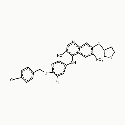 N#Cc1cnc2cc(OC3CCOC3)c([N+](=O)[O-])cc2c1Nc1ccc(OCc2ccc(Cl)cc2)c(Cl)c1